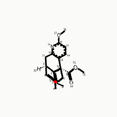 CC=C1[C@H]2C=C(C)C[C@]1(C(=O)OC)c1ccc(OC)nc1C2